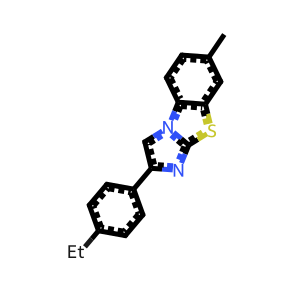 CCc1ccc(-c2cn3c(n2)sc2cc(C)ccc23)cc1